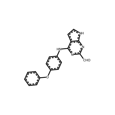 O=Cc1nc(Nc2ccc(Oc3ccccc3)cc2)c2cc[nH]c2n1